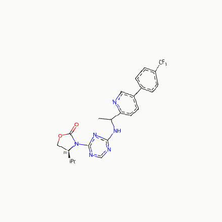 CC(Nc1ncnc(N2C(=O)OC[C@@H]2C(C)C)n1)c1ccc(-c2ccc(C(F)(F)F)cc2)cn1